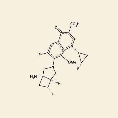 COc1c(N2C[C@H]3[C@H](C)C[C@@]3(N)C2)c(F)cc2c(=O)c(C(=O)O)cn([C@@H]3C[C@@H]3F)c12